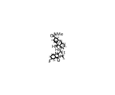 CCC(Nc1ncnc(N)c1C(=N)c1ccc(C(=O)NC)cc1)c1nc2ccc(F)cc2c(=O)n1C1CC1